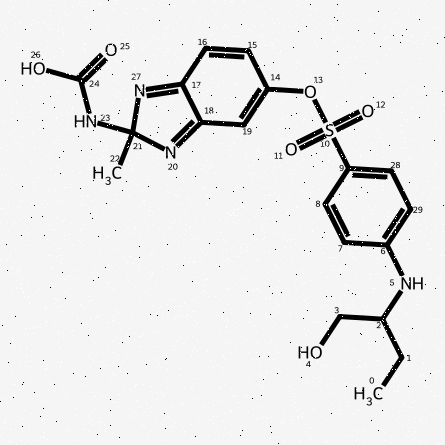 CCC(CO)Nc1ccc(S(=O)(=O)Oc2ccc3c(c2)=NC(C)(NC(=O)O)N=3)cc1